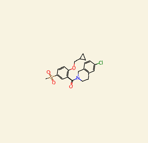 CS(=O)(=O)c1ccc(OCC2CC2)c(C(=O)N2CCc3cc(Cl)ccc3C2)c1